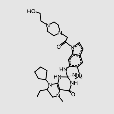 CCC1CN(C)C2=C(N[C@@](N)(Nc3cc4c(ccn4C(=O)CN4CCN(CCO)CC4)cc3OC)NC2=O)N1C1CCCC1